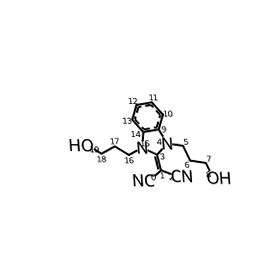 N#CC(C#N)=C1N(CCCO)c2ccccc2N1CCCO